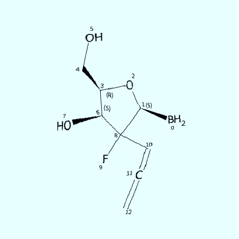 B[C@@H]1O[C@H](CO)[C@H](O)C1(F)C=C=C